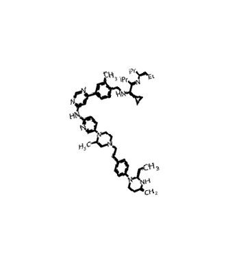 C=C1CCN(c2ccc(CCN3CCN(c4ccc(Nc5cc(-c6ccc(CNC(=C7CC7)/C(=N/C(=C\CC)C(C)C)C(C)C)c(C)c6)ncn5)nc4)C(C)C3)cc2)/C(=C/C)N1